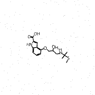 CSC(C)(C)NCC(O)COc1cccc2[nH]c(C(=O)O)cc12